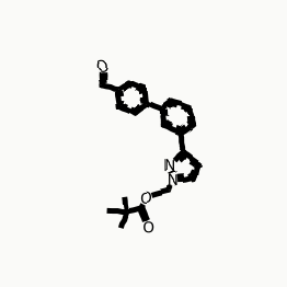 CC(C)(C)C(=O)OCn1ccc(-c2cccc(-c3ccc(C=O)cc3)c2)n1